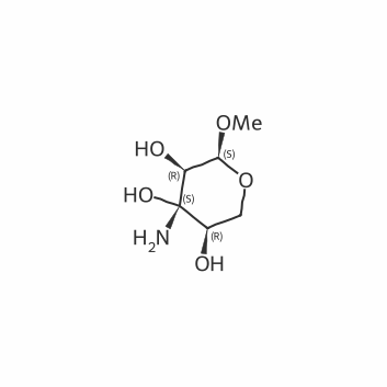 CO[C@H]1OC[C@@H](O)[C@](N)(O)[C@H]1O